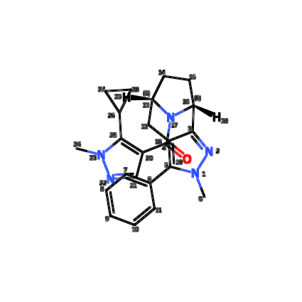 Cn1nc2c(c1-c1ccccc1)C[C@@H]1CC[C@H]2N1C(=O)c1cnn(C)c1C1CC1